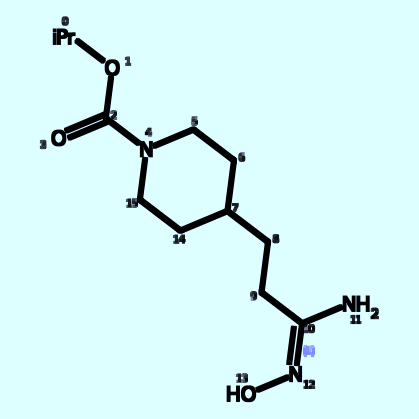 CC(C)OC(=O)N1CCC(CC/C(N)=N\O)CC1